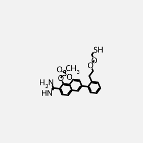 CS(=O)(=O)Oc1c(C(=N)N)ccc2cc(-c3ccccc3CCOOCS)ccc12